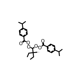 [CH2]C(CC)(CC)[C](OOC(=O)c1ccc(C(C)C)cc1)OOC(=O)c1ccc(C(C)C)cc1